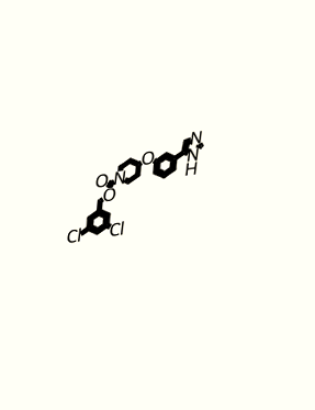 O=C(OCc1cc(Cl)cc(Cl)c1)N1CCC(Oc2cccc(-c3cnc[nH]3)c2)CC1